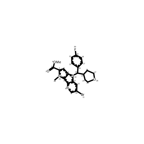 COC(=O)c1cc2c(c3ncc(Br)cc3n2C(c2ccc(F)cc2)C2CCOCC2)n1C